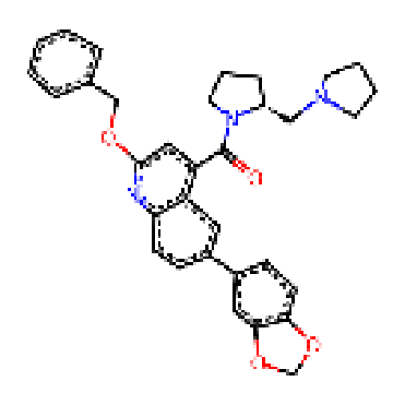 O=C(c1cc(OCc2ccccc2)nc2ccc(-c3ccc4c(c3)OCO4)cc12)N1CCC[C@H]1CN1CCCC1